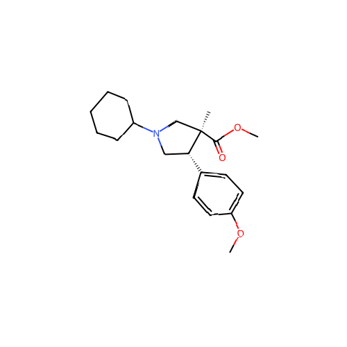 COC(=O)[C@]1(C)CN(C2CCCCC2)C[C@H]1c1ccc(OC)cc1